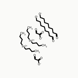 CCC[CH2][Sn+2][CH2]CCC.CCC[CH2][Sn+2][CH2]CCC.O=CC(=O)[O-].O=CC(=O)[O-].O=CCCCCCCC[O-].O=CCCCCCCC[O-]